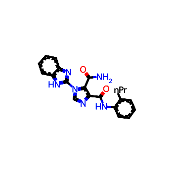 CCCc1ccccc1NC(=O)c1ncn(-c2nc3ccccc3[nH]2)c1C(N)=O